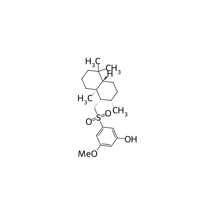 COc1cc(O)cc(S(=O)(=O)C[C@H]2[C@@H](C)CC[C@H]3C(C)(C)CCC[C@]23C)c1